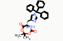 CC1(C)OC(=O)N[C@@H](Cc2cn(C(c3ccccc3)(c3ccccc3)c3ccccc3)cn2)C(=O)O1